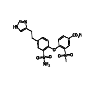 CS(=O)(=O)c1cc(C(=O)O)ccc1Oc1ccc(CCc2c[nH]cn2)cc1S(N)(=O)=O